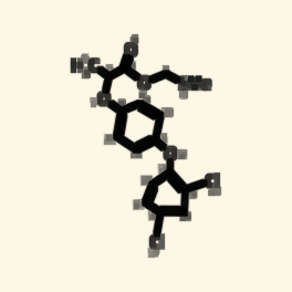 CSCOC(=O)C(C)Oc1ccc(Oc2ccc(Cl)cc2Cl)cc1